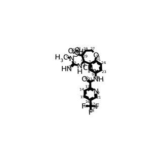 CN1C(=N)N[C@]2(C)c3cc(NC(=O)c4ccc(C(F)(F)F)cn4)ccc3OCC[C@@H]2S1(=O)=O